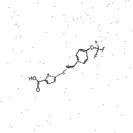 O=C(O)c1ccc(CON=Cc2ccc(OC(F)(F)F)cc2)s1